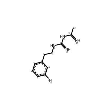 [2H]c1cccc(CCNC(=N)NC(C)=N)c1